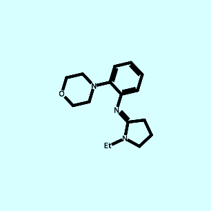 CCN1CCC/C1=N\c1ccccc1N1CCOCC1